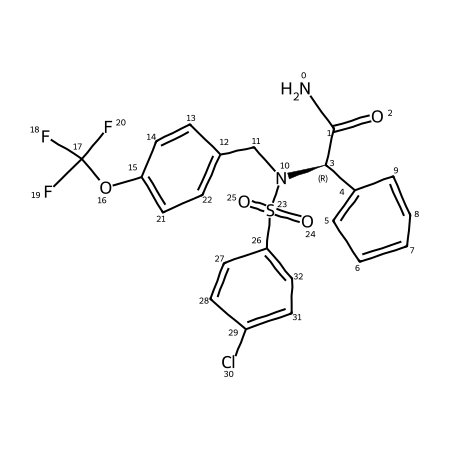 NC(=O)[C@@H](c1ccccc1)N(Cc1ccc(OC(F)(F)F)cc1)S(=O)(=O)c1ccc(Cl)cc1